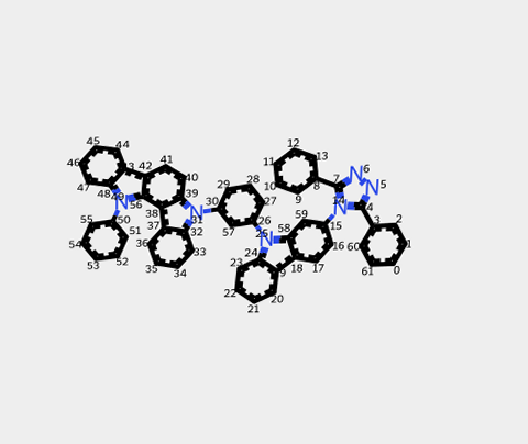 c1ccc(-c2nnc(-c3ccccc3)n2-c2ccc3c4ccccc4n(-c4cccc(-n5c6ccccc6c6c5ccc5c7ccccc7n(-c7ccccc7)c56)c4)c3c2)cc1